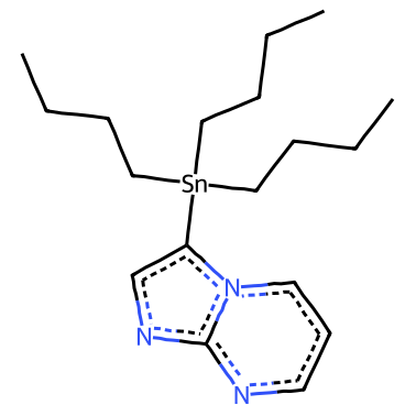 CCC[CH2][Sn]([CH2]CCC)([CH2]CCC)[c]1cnc2ncccn12